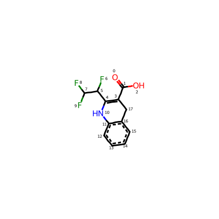 O=C(O)C1=C(C(F)C(F)F)Nc2ccccc2C1